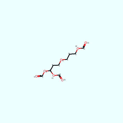 O=[C]OC(CCOCCCOC=O)OC=O